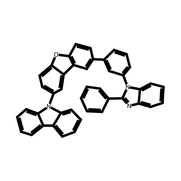 c1ccc(-c2nc3ccccc3n2-c2cccc(-c3ccc4oc5ccc(-n6c7ccccc7c7ccccc76)cc5c4c3)c2)cc1